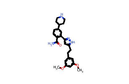 COc1cc(CCc2cc(-c3cc(C4CCNCC4)ccc3C(N)=O)n[nH]2)cc(OC)c1